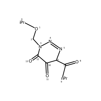 [CH2]C([CH2])OCN1N=NC(C(=O)CCC)C(=O)C1=O